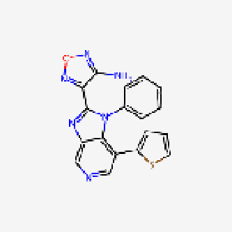 Nc1nonc1-c1nc2cncc(-c3cccs3)c2n1-c1ccccc1